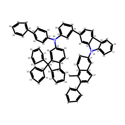 Cc1c(-c2ccccc2)ccc2cc(-n3c4ccccc4c4ccc(-c5cccc(N(c6ccc(-c7ccccc7)cc6)c6ccc7c(c6)C(c6ccccc6)(c6ccccc6)c6ccccc6-7)c5)cc43)ccc12